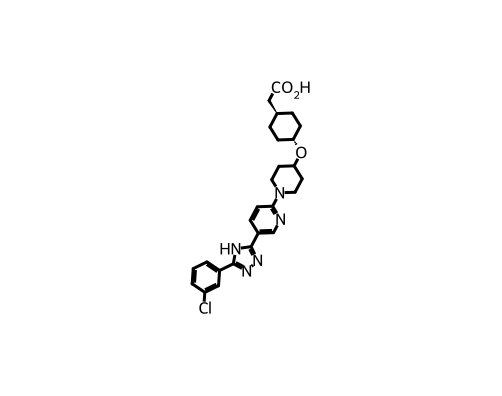 O=C(O)C[C@H]1CC[C@H](OC2CCN(c3ccc(-c4nnc(-c5cccc(Cl)c5)[nH]4)cn3)CC2)CC1